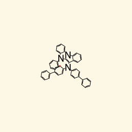 c1ccc(-c2ccc(N(c3ccc(-c4ccccc4)cc3)c3c4ccccc4n4c5ccccc5n(-c5ccccc5)c34)cc2)cc1